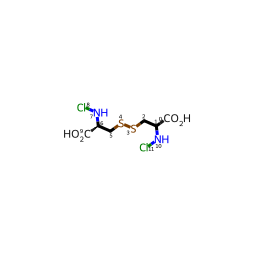 O=C(O)C(CSSC[C@H](NCl)C(=O)O)NCl